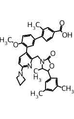 COc1ccc(-c2ccc(C(=O)O)cc2C)cc1-c1ccc(N2CCC2)nc1CN1C(=O)OC(c2cc(C)cc(C)c2)C1C